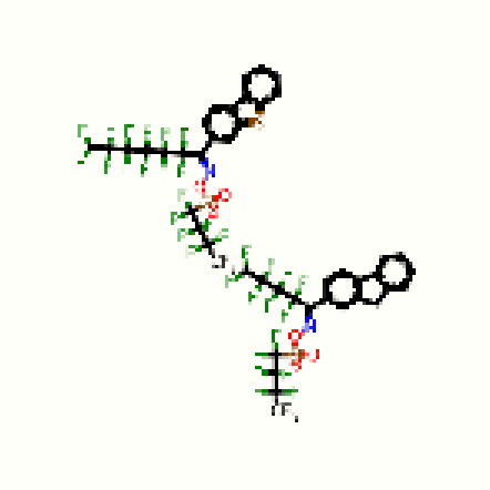 O=S(=O)(ON=C(c1ccc2c(c1)Cc1ccccc1-2)C(F)(F)C(F)(F)C(F)(F)C(F)F)C(F)(F)C(F)(F)C(F)(F)C(F)(F)F.O=S(=O)(ON=C(c1ccc2c(c1)sc1ccccc12)C(F)(F)C(F)(F)C(F)(F)C(F)(F)C(F)(F)C(F)F)C(F)(F)C(F)(F)C(F)(F)C(F)(F)F